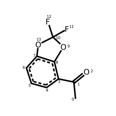 CC(=O)c1cccc2c1OC(F)(F)O2